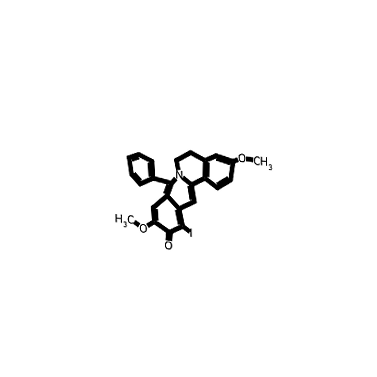 COc1ccc2c(c1)CCn1c-2cc2c(I)c(=O)c(OC)cc-2c1-c1ccccc1